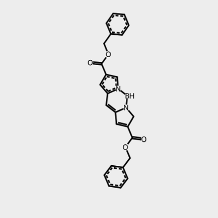 O=C(OCc1ccccc1)C1=CC2=Cc3cc(C(=O)OCc4ccccc4)cn3BN2C1